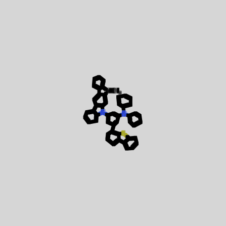 C[SiH]1c2ccccc2-c2cc3c4ccccc4n(-c4cc(-c5cccc6c5sc5ccccc56)cc(N(c5ccccc5)c5ccccc5)c4)c3cc21